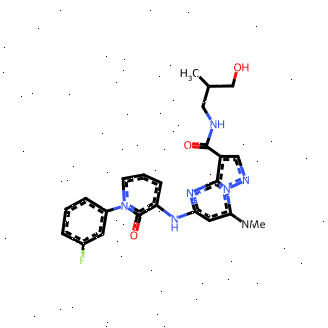 CNc1cc(Nc2cccn(-c3cccc(F)c3)c2=O)nc2c(C(=O)NCC(C)CO)cnn12